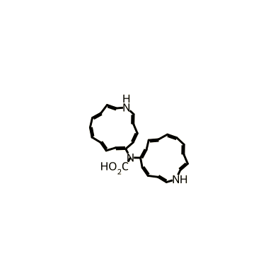 O=C(O)N(C1=C\C=C\C=C/C=C/C=C/N/C=C/C=C\1)C1=C\C=C\C=C/C=C/C=C/N/C=C/C=C\1